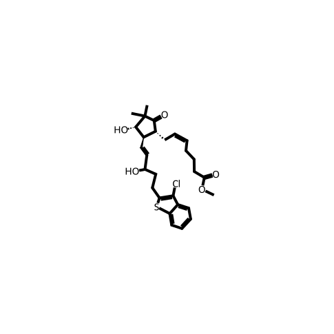 COC(=O)CCC/C=C\C[C@H]1C(=O)C(C)(C)[C@@H](O)[C@@H]1/C=C/C(O)CCc1sc2ccccc2c1Cl